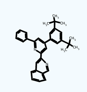 CC(C)(C)c1cc(-c2cc(-c3ccccc3)nc(-c3cc4ccccc4cn3)c2)cc(C(C)(C)C)c1